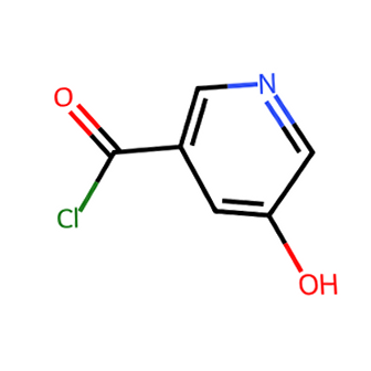 O=C(Cl)c1cncc(O)c1